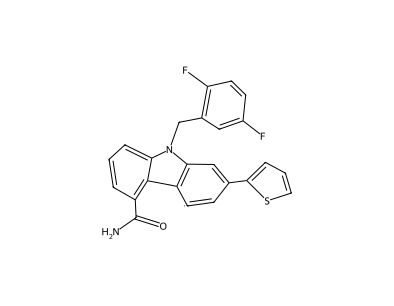 NC(=O)c1cccc2c1c1[c]cc(-c3cccs3)cc1n2Cc1cc(F)ccc1F